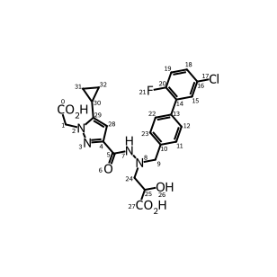 O=C(O)Cn1nc(C(=O)NN(Cc2ccc(-c3cc(Cl)ccc3F)cc2)CC(O)C(=O)O)cc1C1CC1